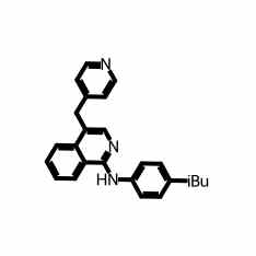 CCC(C)c1ccc(Nc2ncc(Cc3ccncc3)c3ccccc23)cc1